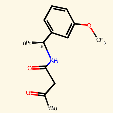 CCC[C@H](NC(=O)CC(=O)C(C)(C)C)c1cccc(OC(F)(F)F)c1